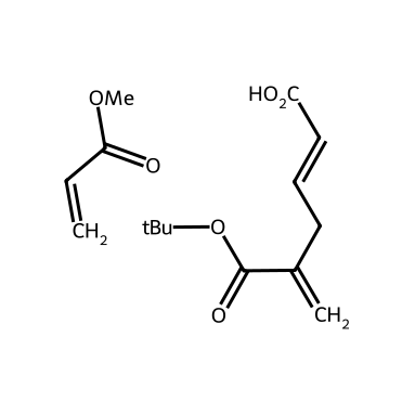 C=C(CC=CC(=O)O)C(=O)OC(C)(C)C.C=CC(=O)OC